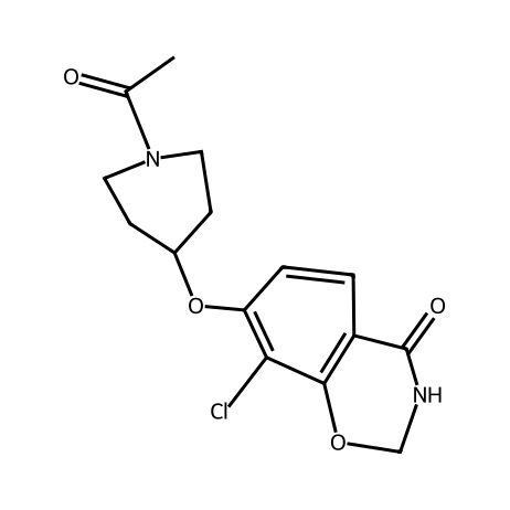 CC(=O)N1CCC(Oc2ccc3c(c2Cl)OCNC3=O)CC1